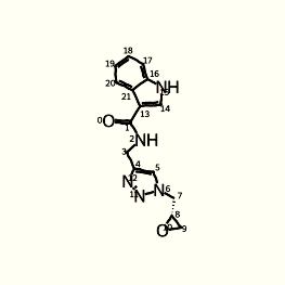 O=C(NCc1cn(C[C@@H]2CO2)nn1)c1c[nH]c2ccccc12